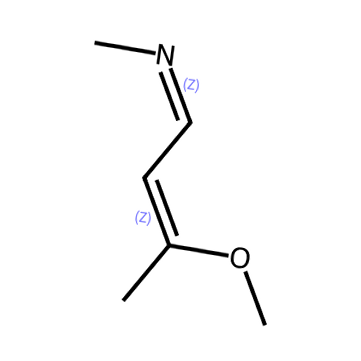 C/N=C\C=C(\C)OC